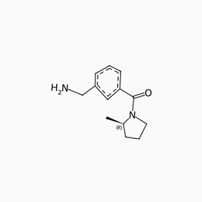 C[C@@H]1CCCN1C(=O)c1cccc(CN)c1